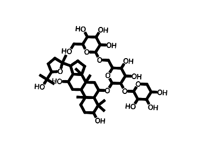 CC(C)(O)C1CCC(C)(C2CCC3(C)C2C(O)CC2C4(C)CCC(O)C(C)(C)C4C(OC4OC(COC5OC(CO)C(O)C(O)C5O)C(O)C(O)C4OC4OCC(O)C(O)C4O)CC23C)O1